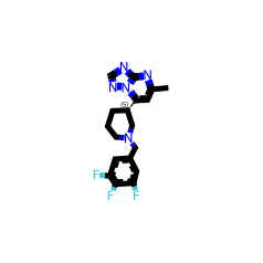 Cc1cc([C@H]2CCCN(Cc3cc(F)c(F)c(F)c3)C2)n2ncnc2n1